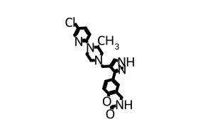 C[C@@H]1CN(Cc2c[nH]nc2-c2ccc3c(c2)CNC(=O)O3)CCN1c1ccc(Cl)cn1